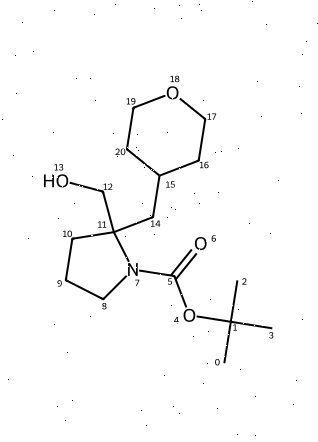 CC(C)(C)OC(=O)N1CCCC1(CO)CC1CCOCC1